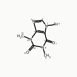 [2H]n1cnc2c1c(=O)n(C)c(=O)n2C